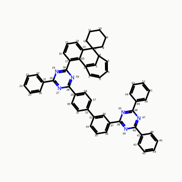 C1=CC2=CC(C=C1)C1(CCCCC1)c1cccc(-c3nc(-c4ccccc4)nc(-c4ccc(-c5cccc(-c6nc(-c7ccccc7)nc(-c7ccccc7)n6)c5)cc4)n3)c12